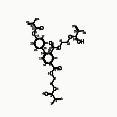 C=C(C)C(=O)OCCOC(=O)c1ccc(-c2ccc(OC(=O)C(=C)C)cc2)c(C(=O)OCCOC(O)C(=C)C)c1